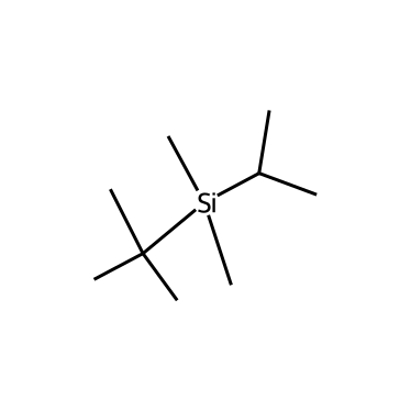 CC(C)[Si](C)(C)C(C)(C)C